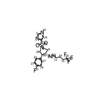 Cn1cnc(S(=O)(=O)N2C[C@H](NCCCCC(F)(F)F)[C@@H](c3ccc(F)cc3)C2)c1